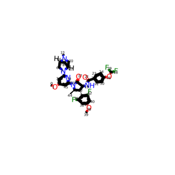 COc1cc(N2C[C@@H]3C[C@H]2CN3C)nc(N2C(=O)C(NC(=O)c3ccc(OC(F)F)cc3)[C@H](c3c(F)cc(OC)cc3F)[C@H]2C)c1